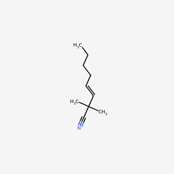 CCCCC=CC(C)(C)C#N